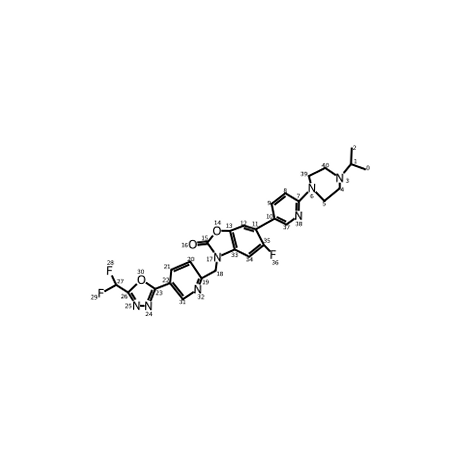 CC(C)N1CCN(c2ccc(-c3cc4oc(=O)n(Cc5ccc(-c6nnc(C(F)F)o6)cn5)c4cc3F)cn2)CC1